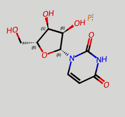 O=c1ccn([C@@H]2O[C@H](CO)[C@@H](O)[C@H]2O)c(=O)[nH]1.[P]